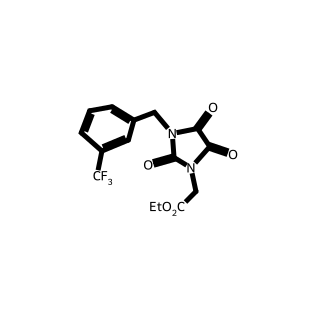 CCOC(=O)CN1C(=O)C(=O)N(Cc2cccc(C(F)(F)F)c2)C1=O